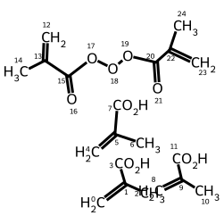 C=C(C)C(=O)O.C=C(C)C(=O)O.C=C(C)C(=O)O.C=C(C)C(=O)OOOC(=O)C(=C)C